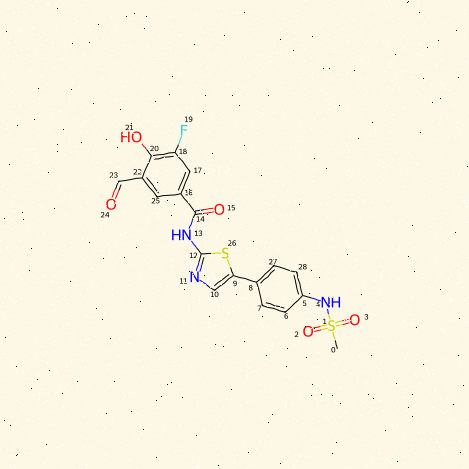 CS(=O)(=O)Nc1ccc(-c2cnc(NC(=O)c3cc(F)c(O)c(C=O)c3)s2)cc1